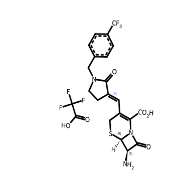 N[C@@H]1C(=O)N2C(C(=O)O)=C(/C=C3\CCN(Cc4ccc(C(F)(F)F)cc4)C3=O)CS[C@H]12.O=C(O)C(F)(F)F